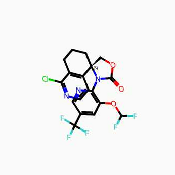 O=C1OC[C@@]2(CCCc3c2ccnc3Cl)N1c1ncc(C(F)(F)F)cc1OC(F)F